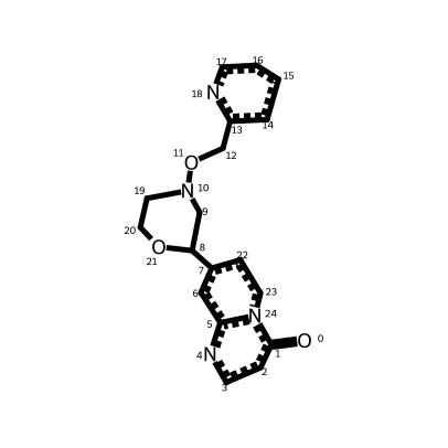 O=c1ccnc2cc(C3CN(OCc4ccccn4)CCO3)ccn12